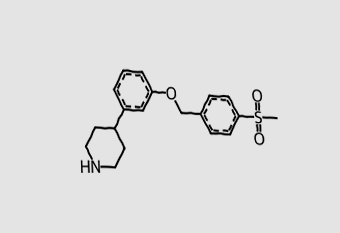 CS(=O)(=O)c1ccc(COc2cccc(C3CCNCC3)c2)cc1